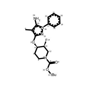 Cc1c(O[C@@H]2CCN(C(=O)OC(C)(C)C)C[C@@H]2F)nn(-c2ccccc2)c1N